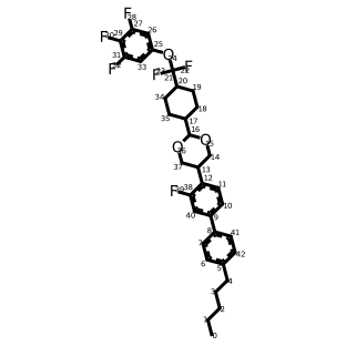 CCCCCc1ccc(-c2ccc(C3COC(C4CCC(C(F)(F)Oc5cc(F)c(F)c(F)c5)CC4)OC3)c(F)c2)cc1